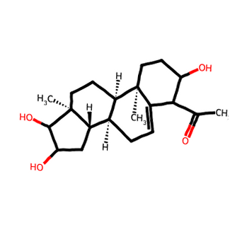 CC(=O)C1C2=CC[C@@H]3[C@@H](CC[C@]4(C)C(O)C(O)C[C@@H]34)[C@@]2(C)CCC1O